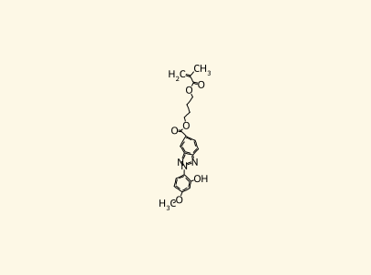 C=C(C)C(=O)OCCCCOC(=O)c1ccc2nn(-c3ccc(OC)cc3O)nc2c1